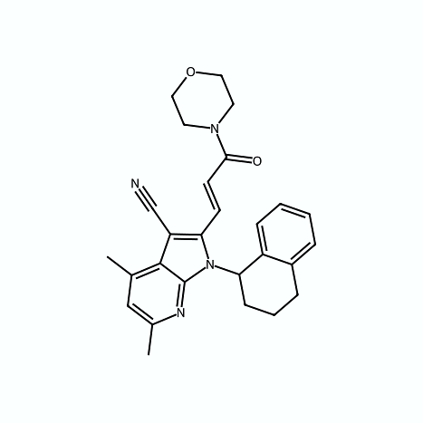 Cc1cc(C)c2c(C#N)c(C=CC(=O)N3CCOCC3)n(C3CCCc4ccccc43)c2n1